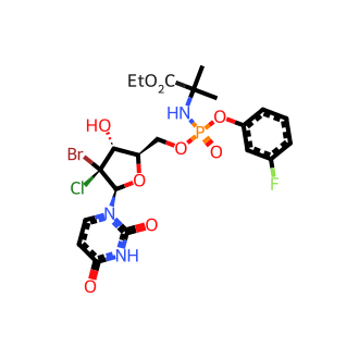 CCOC(=O)C(C)(C)NP(=O)(OC[C@H]1O[C@@H](n2ccc(=O)[nH]c2=O)[C@](Cl)(Br)[C@@H]1O)Oc1cccc(F)c1